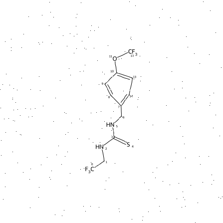 FC(F)(F)CNC(=S)NCc1ccc(OC(F)(F)F)cc1